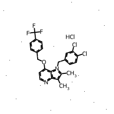 Cc1c(C)n(Cc2ccc(Cl)c(Cl)c2)c2c(OCc3ccc(C(F)(F)F)cc3)ccnc12.Cl